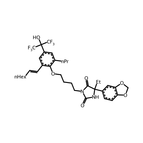 CCCCCCC=Cc1cc(C(O)(C(F)(F)F)C(F)(F)F)cc(CCC)c1OCCCCN1C(=O)NC(CC)(c2ccc3c(c2)OCO3)C1=O